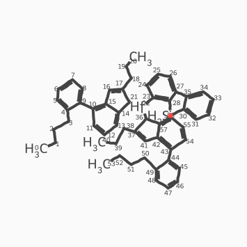 CCCCc1ccccc1-c1cccc2c1C=C(CCC)[CH]2[Hf]([c]1cccc2c1[SiH2]c1ccccc1-2)[CH]1C(CCC)=Cc2c(-c3ccccc3CCCC)cccc21